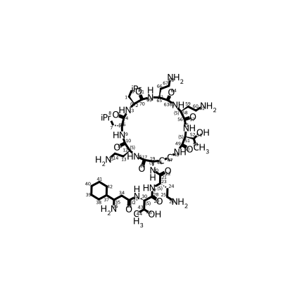 CC(C)C[C@@H]1NC(=O)[C@@H](CC(C)C)NC(=O)[C@H](CCN)NC(=O)[C@@H](NC(=O)[C@H](CCN)NC(=O)[C@@H](NC(=O)CC(N)C2CCCCC2)C(C)O)CCNC(=O)[C@H](C(C)O)NC(=O)[C@H](CCN)NC(=O)[C@H](CCN)NC1=O